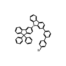 Brc1ccc(-c2cccc(-c3ccc4c5ccccc5n(-c5ccc6c(c5)-c5ccccc5C6(c5ccccc5)c5ccccc5)c4c3)c2)cc1